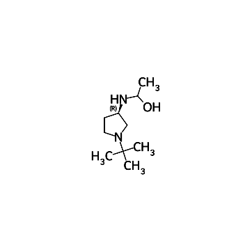 CC(O)N[C@@H]1CCN(C(C)(C)C)C1